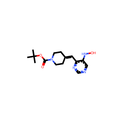 CC(C)(C)OC(=O)N1CCC(=Cc2ncncc2NO)CC1